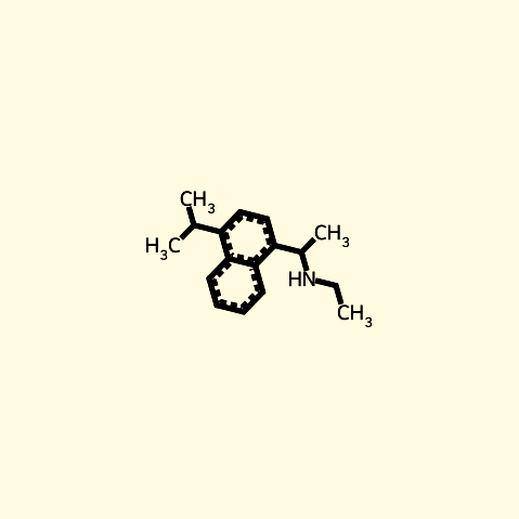 CCNC(C)c1ccc(C(C)C)c2ccccc12